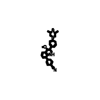 COC1=C(C2=CC=C(N3CC(C)N(C)C(C)C3)CC=C2)CNc2c1cccc2C1C=CC(C#N)=CC1